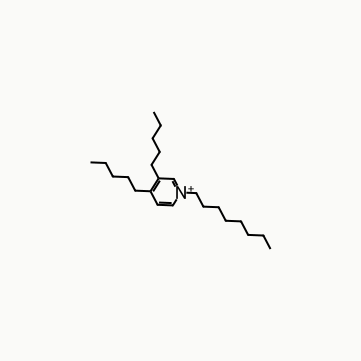 CCCCCCCC[n+]1ccc(CCCCC)c(CCCCC)c1